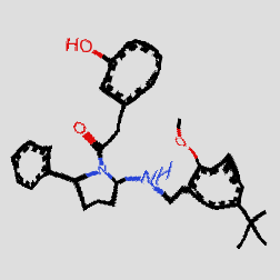 COc1ccc(C(C)(C)C)cc1CNC1CCC(c2ccccc2)N1C(=O)Cc1cccc(O)c1